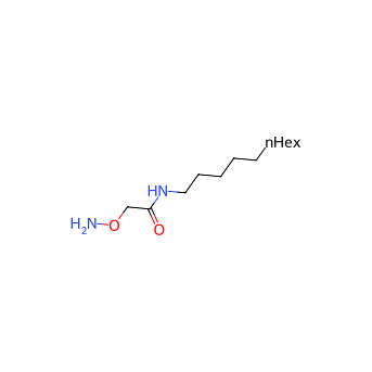 CCCCCCCCCCCNC(=O)CON